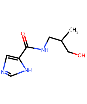 CC(CO)CNC(=O)c1cnc[nH]1